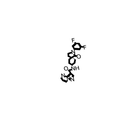 O=C(N[C@H]1CC[C@@]2(CCN(c3cc(F)cc(F)c3)C2=O)CC1)c1cnn2cccnc12